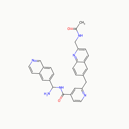 CC(=O)NCc1ccc2cc(Cc3cc(C(=O)NC(N)c4ccc5cnccc5c4)ccn3)ccc2n1